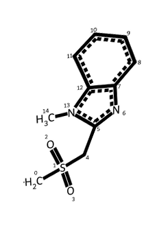 [CH2]S(=O)(=O)Cc1nc2ccccc2n1C